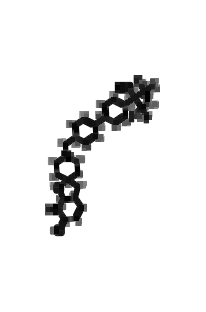 O=c1ccc2c([nH]1)OC1(CCN(Cc3ccc(-c4ccc(C(O)(C(F)(F)F)C(F)(F)F)cc4)cc3)CC1)C2